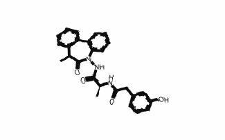 CC1C(=O)N(NC(=O)[C@H](C)NC(=O)Cc2cccc(O)c2)c2ccccc2-c2ccccc21